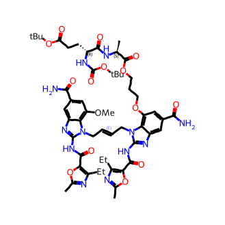 CCc1nc(C)oc1C(=O)Nc1nc2cc(C(N)=O)cc(OC)c2n1C/C=C/Cn1c(NC(=O)c2oc(C)nc2CC)nc2cc(C(N)=O)cc(OCCCOC(=O)[C@H](C)NC(=O)[C@@H](CCC(=O)OC(C)(C)C)NC(=O)OC(C)(C)C)c21